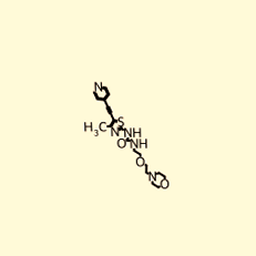 Cc1nc(NC(=O)NCCOCCN2CCOCC2)sc1C#Cc1ccncc1